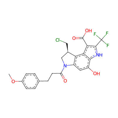 COc1ccc(CCC(=O)N2C[C@@H](CCl)c3c2cc(O)c2[nH]c(C(F)(F)F)c(C(=O)O)c32)cc1